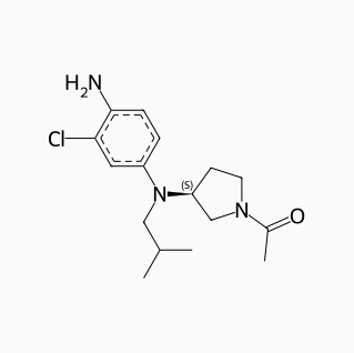 CC(=O)N1CC[C@H](N(CC(C)C)c2ccc(N)c(Cl)c2)C1